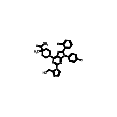 CC1(C(N)=O)CCN(c2nc(-n3ccnc3CO)nc3c2nc(-c2ccccc2Cl)n3-c2ccc(Cl)cc2)CC1